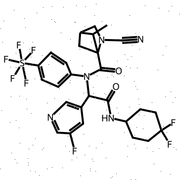 CC1C2CN(C#N)C1(C(=O)N(c1ccc(S(F)(F)(F)(F)F)cc1)C(C(=O)NC1CCC(F)(F)CC1)c1cncc(F)c1)C2